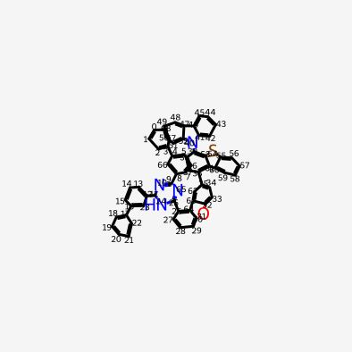 c1ccc(-c2cccc(C3=NC(c4cccc(-c5ccccc5)c4)NC(c4cccc5oc6ccc(-c7ccc(-n8c9ccccc9c9ccccc98)c8sc9ccccc9c78)cc6c45)=N3)c2)cc1